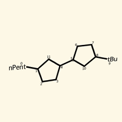 CCCCCC1CCC([C]2CCC(C(C)(C)C)C2)C1